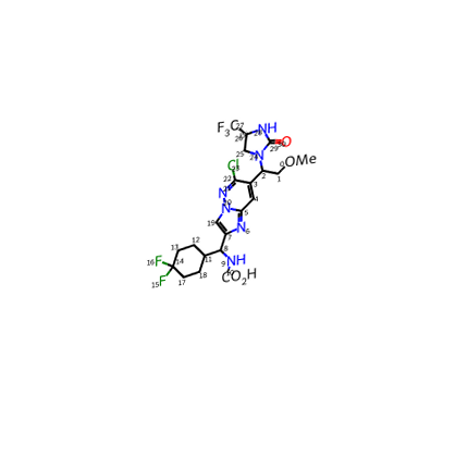 COCC(c1cc2nc(C(NC(=O)O)C3CCC(F)(F)CC3)cn2nc1Cl)N1C[C@@H](C(F)(F)F)NC1=O